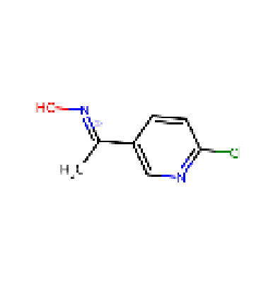 C/C(=N\O)c1ccc(Cl)nc1